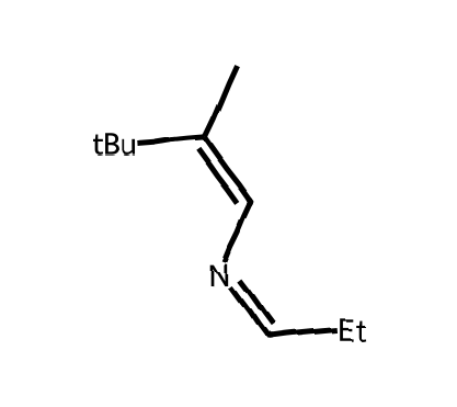 CC/C=N\C=C(\C)C(C)(C)C